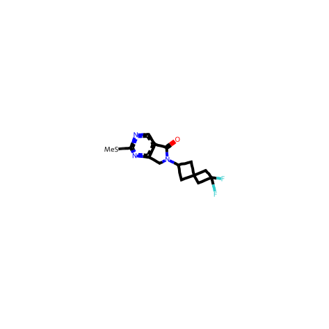 CSc1ncc2c(n1)CN(C1CC3(C1)CC(F)(F)C3)C2=O